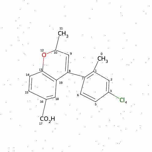 Cc1cc(Cl)ccc1C1=CC(C)Oc2ccc(C(=O)O)cc21